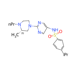 CCCN1CCN(c2ncc(NS(=O)(=O)c3ccc(C(C)C)cc3)cn2)C[C@@H]1C